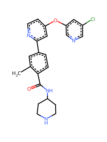 Cc1cc(-c2cc(Oc3cncc(Cl)c3)ccn2)ccc1C(=O)NC1CCNCC1